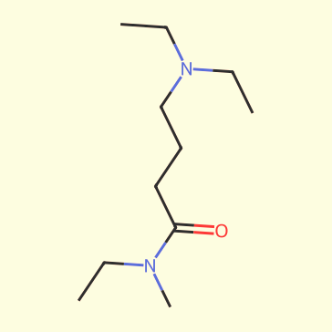 CCN(CC)CCCC(=O)N(C)CC